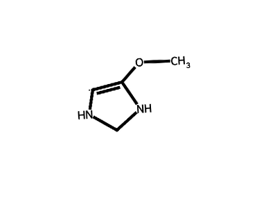 COC1=[C]NCN1